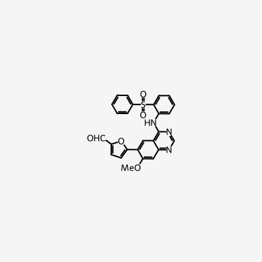 COc1cc2ncnc(Nc3ccccc3S(=O)(=O)c3ccccc3)c2cc1-c1ccc(C=O)o1